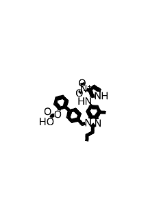 CCCc1nc2c(C)cc(Nc3[nH]ccc3[N+](=O)[O-])cc2n1Cc1ccc(-c2ccccc2OC(=O)O)cc1